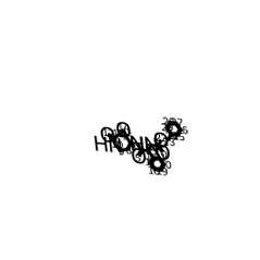 O=C(NC(C(=O)NC1CCNC(=O)C2OC12)c1ccccc1)OCc1ccccc1